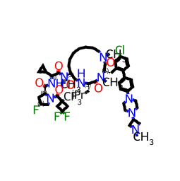 CC(C)C[C@@H]1NC(=O)[C@@H](N(C)C(=O)[C@@H](NC(=O)[C@@H]2C[C@@H](F)CN2C(=O)C2(C(F)(F)F)CC(F)(F)C2)C2CC2)CCCCCCCN(C)C(=O)[C@H](Cc2cc(Cl)ccc2-c2ccc(N3CCN(C4CN(C)C4)CC3)cc2)N(C)C1=O